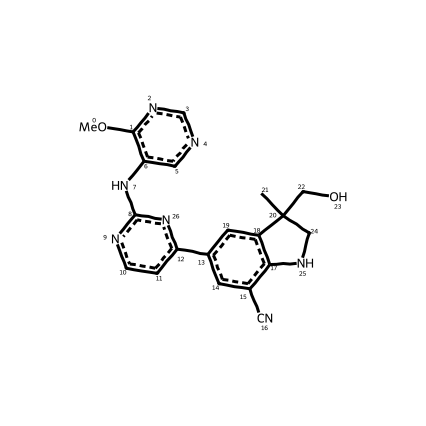 COc1ncncc1Nc1nccc(-c2cc(C#N)c3c(c2)C(C)(CO)CN3)n1